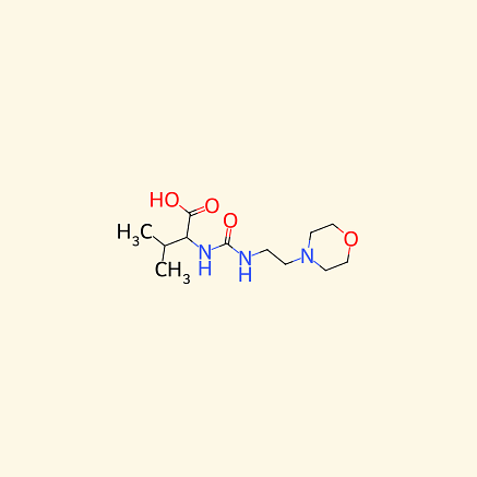 CC(C)C(NC(=O)NCCN1CCOCC1)C(=O)O